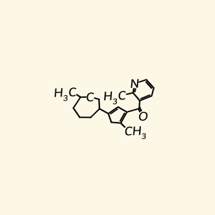 CC1=C(C(=O)c2cccnc2C)C=C(C2CCCC(C)CC2)C1